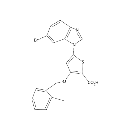 Cc1ccccc1COc1cc(-n2cnc3ccc(Br)cc32)sc1C(=O)O